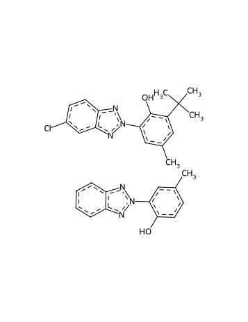 Cc1cc(-n2nc3ccc(Cl)cc3n2)c(O)c(C(C)(C)C)c1.Cc1ccc(O)c(-n2nc3ccccc3n2)c1